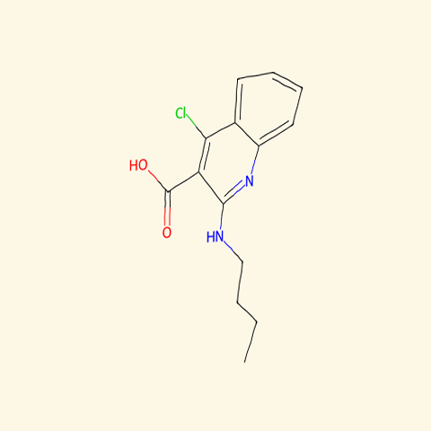 CCCCNc1nc2ccccc2c(Cl)c1C(=O)O